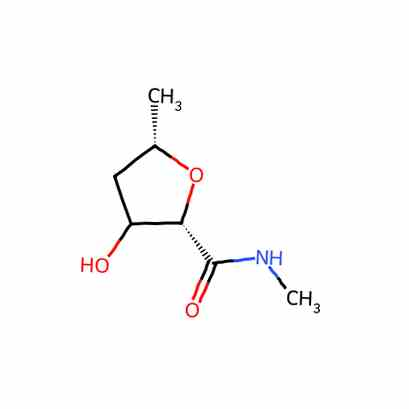 CNC(=O)[C@H]1O[C@@H](C)CC1O